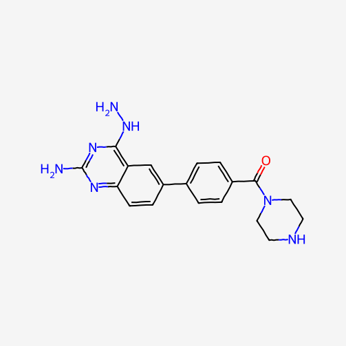 NNc1nc(N)nc2ccc(-c3ccc(C(=O)N4CCNCC4)cc3)cc12